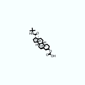 CC(C)(C)NC(=O)[C@H]1CC[C@H]2[C@@H]3CC=C4C=C(OC(=O)O)CC[C@@H]4[C@H]3CC[C@]12C